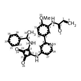 C=CC(=O)Nc1cc(-c2cc(Nc3c(NC(C)c4ccccc4)c(=O)c3=O)ccn2)ccc1OC